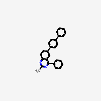 Cc1nc(-c2ccccc2)c2cc(-c3ccc(-c4ccccc4)cc3)ccc2n1